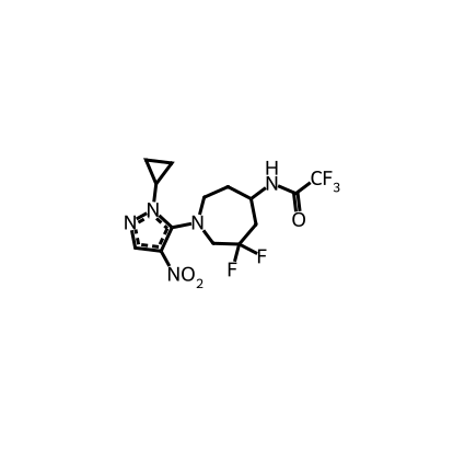 O=C(NC1CCN(c2c([N+](=O)[O-])cnn2C2CC2)CC(F)(F)C1)C(F)(F)F